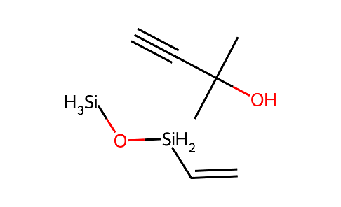 C#CC(C)(C)O.C=C[SiH2]O[SiH3]